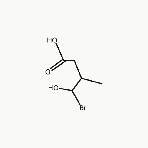 CC(CC(=O)O)C(O)Br